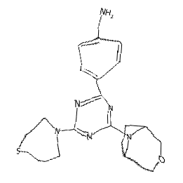 Nc1ccc(-c2nc(N3CCSCC3)nc(N3C4CCC3COC4)n2)cc1